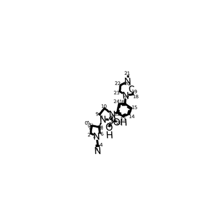 C[C@H]1CN(C#N)C[C@@H]1N1CCN(c2cccc(N3CCN(C)CC3)c2)S1(O)O